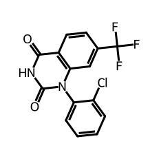 O=c1[nH]c(=O)n(-c2ccccc2Cl)c2cc(C(F)(F)F)ccc12